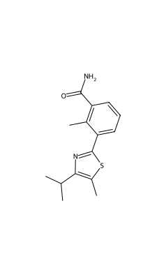 Cc1sc(-c2cccc(C(N)=O)c2C)nc1C(C)C